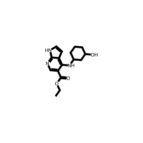 CCOC(=O)c1cnc2[nH]ccc2c1NC1CCCC(O)C1